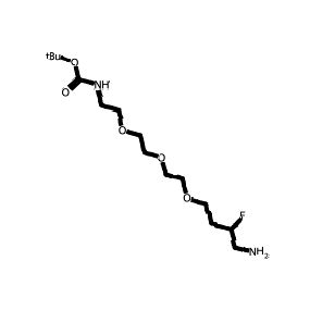 CC(C)(C)OC(=O)NCCOCCOCCOCCC(F)CN